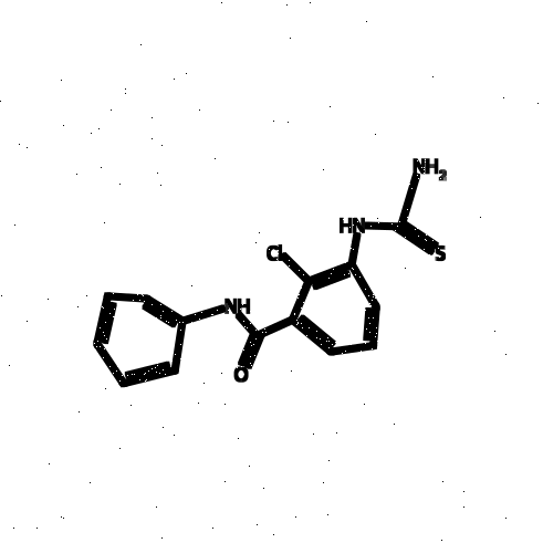 NC(=S)Nc1cccc(C(=O)Nc2ccccc2)c1Cl